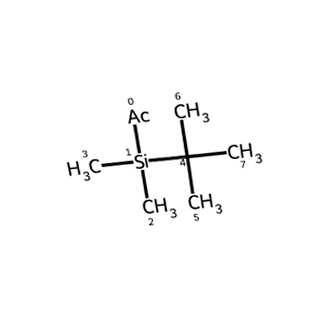 CC(=O)[Si](C)(C)C(C)(C)C